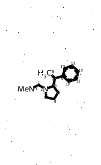 CNCN1CCCC1C(C)c1ccccc1